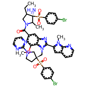 CCC1CN(C(=O)c2cc(OC)c3c(c2)nc(-c2cc4cccnc4n2C)n3C[C@@]2(S(=O)(=O)c3ccc(Br)cc3)CCN(c3ncccn3)C2)C(C)[C@]1(N)S(=O)(=O)c1ccc(Br)cc1